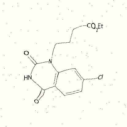 CCOC(=O)CCCn1c(=O)[nH]c(=O)c2ccc(Cl)cc21